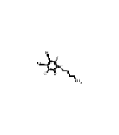 CCCCCOc1c(Cl)c(Cl)c(C#N)c(C#N)c1Cl